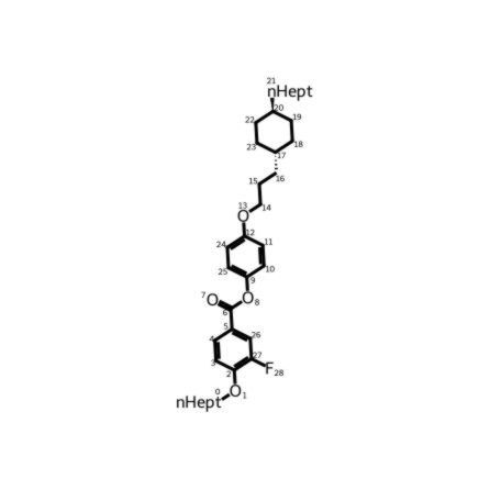 CCCCCCCOc1ccc(C(=O)Oc2ccc(OCCC[C@H]3CC[C@H](CCCCCCC)CC3)cc2)cc1F